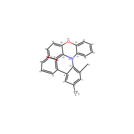 Cc1cc(C(F)(F)F)cc(-c2ccccc2)c1N1c2ccccc2Oc2ccccc21